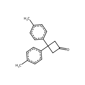 Cc1ccc(C2(c3ccc(C)cc3)CC(=O)C2)cc1